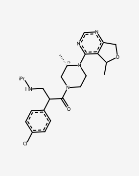 CC(C)NCC(C(=O)N1CCN(c2ncnc3c2C(C)OC3)[C@@H](C)C1)c1ccc(Cl)cc1